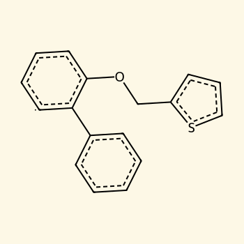 [c]1cccc(OCc2cccs2)c1-c1ccccc1